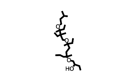 CCCC(C)(CCC(C)(CC)OCC(C)(CC)C(C)(CC)OCCC(C)C)OCC(O)CC